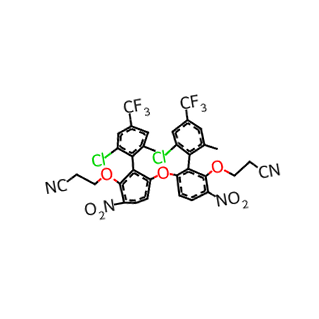 Cc1cc(C(F)(F)F)cc(Cl)c1-c1c(Oc2ccc([N+](=O)[O-])c(OCCC#N)c2-c2c(C)cc(C(F)(F)F)cc2Cl)ccc([N+](=O)[O-])c1OCCC#N